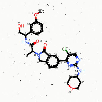 CCOc1cccc(C(CO)NC(=O)C(C)N2Cc3ccc(-c4nc(NC5CCOCC5)ncc4Cl)cc3C2=O)c1